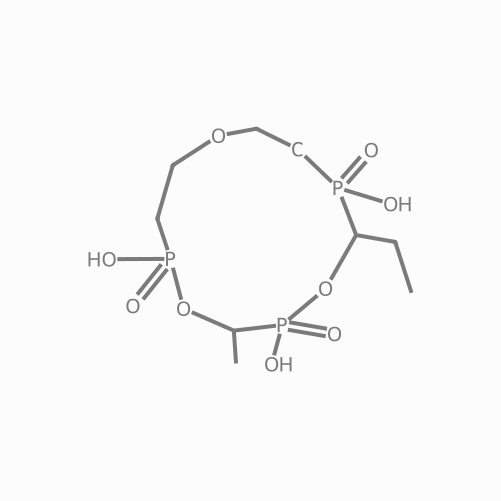 CCC1OP(=O)(O)C(C)OP(=O)(O)CCOCCP1(=O)O